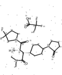 CN(C)C(=O)[C@@H](C1CCC(N2CCCC2=O)CC1)[C@H](N)C(=O)N1CCC(F)(F)C1.O=C(O)C(F)(F)F